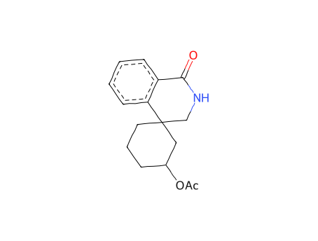 CC(=O)OC1CCCC2(CNC(=O)c3ccccc32)C1